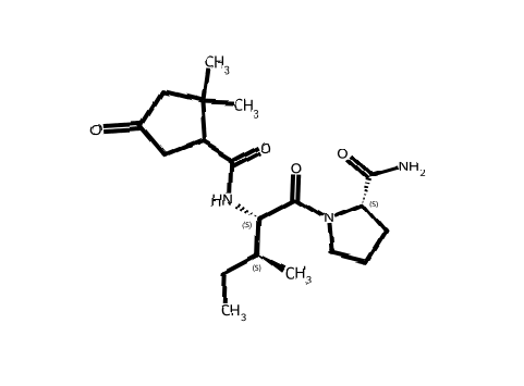 CC[C@H](C)[C@H](NC(=O)C1CC(=O)CC1(C)C)C(=O)N1CCC[C@H]1C(N)=O